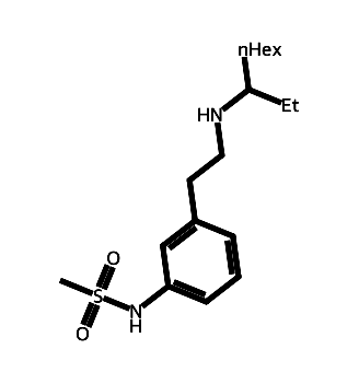 CCCCCCC(CC)NCCc1cccc(NS(C)(=O)=O)c1